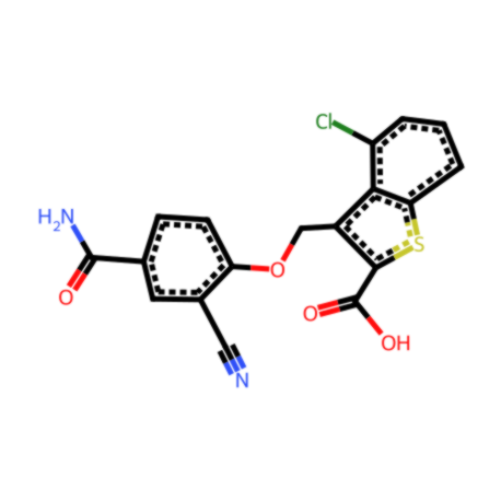 N#Cc1cc(C(N)=O)ccc1OCc1c(C(=O)O)sc2cccc(Cl)c12